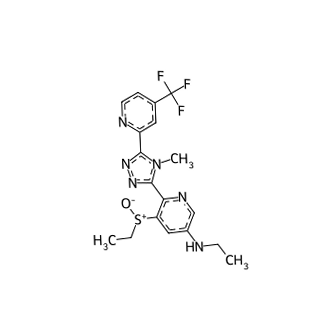 CCNc1cnc(-c2nnc(-c3cc(C(F)(F)F)ccn3)n2C)c([S+]([O-])CC)c1